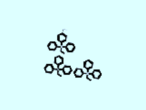 CC[P+](c1ccccc1)(c1ccccc1)c1ccccc1.CC[P+](c1ccccc1)(c1ccccc1)c1ccccc1.CC[P+](c1ccccc1)(c1ccccc1)c1ccccc1.[P-3]